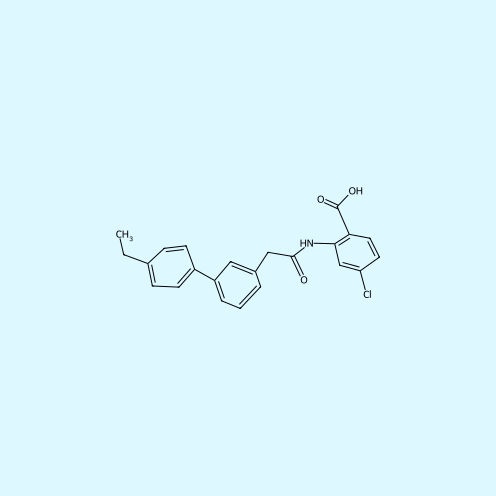 CCc1ccc(-c2cccc(CC(=O)Nc3cc(Cl)ccc3C(=O)O)c2)cc1